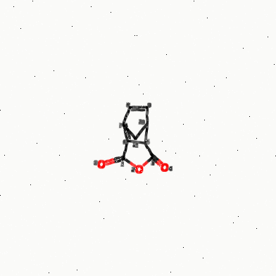 O=C1OC(=O)C2C1=C1C=CC2C1